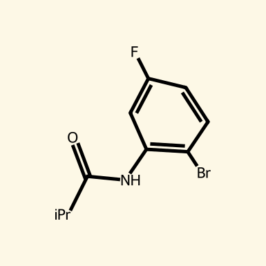 CC(C)C(=O)Nc1cc(F)ccc1Br